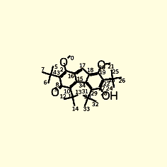 COC1=C(C(C)(C)C)C(=O)C(C(C)(C)C)=C2C1=Cc1c(OC)c(C(C)(C)C)c(O)c(C(C)(C)C)c12